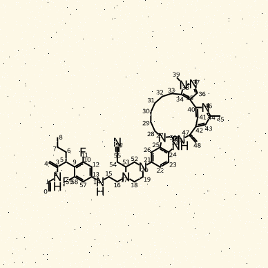 C=CNC(=C)C(CCC)c1c(F)cc(NCCN2CCN(c3ccc4c(c3)N3CCCCCCc5c(cnn5C)-c5cc(cc(C)n5)C(=C)/N=C/3N4)CC2CC#N)cc1F